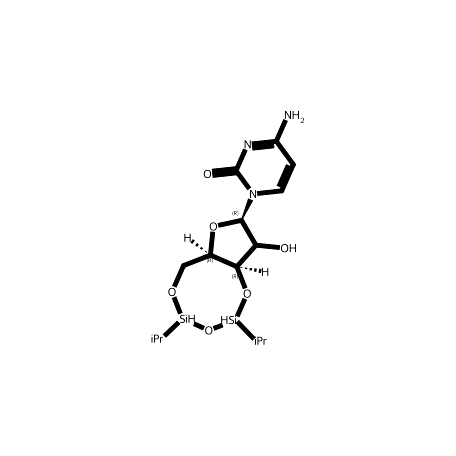 CC(C)[SiH]1OC[C@H]2O[C@@H](n3ccc(N)nc3=O)C(O)[C@H]2O[SiH](C(C)C)O1